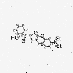 CCN(CC)c1ccc2cc(/C=C/C(=O)c3ccccc3O)c(=O)oc2c1